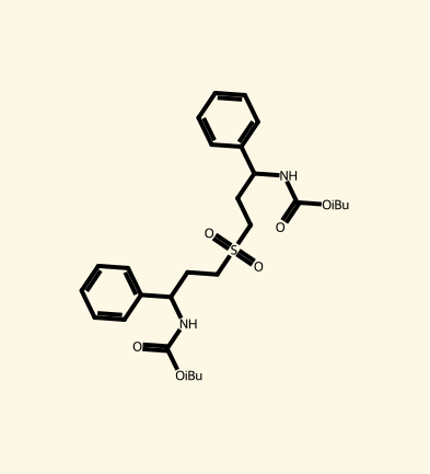 CC(C)COC(=O)NC(CCS(=O)(=O)CCC(NC(=O)OCC(C)C)c1ccccc1)c1ccccc1